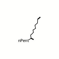 C=CCCCCCCC(=C)CCCCC